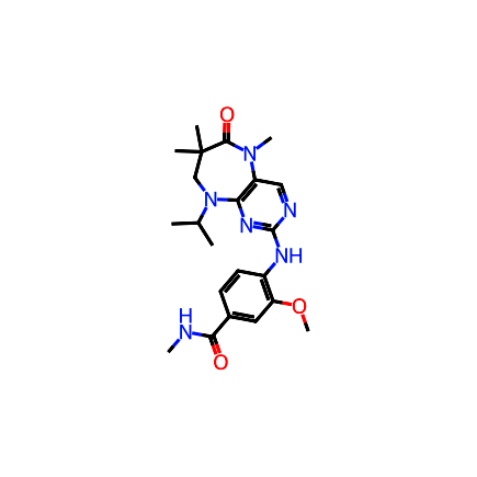 CNC(=O)c1ccc(Nc2ncc3c(n2)N(C(C)C)CC(C)(C)C(=O)N3C)c(OC)c1